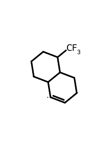 FC(F)(F)C1CCCC2[C]=CCCC21